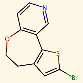 Brc1cc2c(s1)-c1cnccc1OCC2